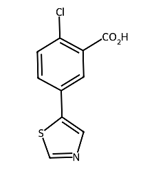 O=C(O)c1cc(-c2cncs2)ccc1Cl